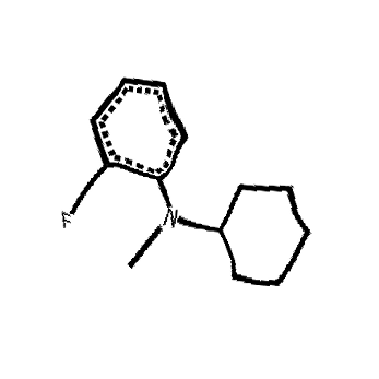 CN(c1ccccc1F)C1CCCCC1